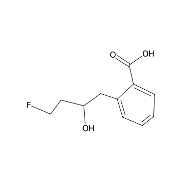 O=C(O)c1ccccc1CC(O)CCF